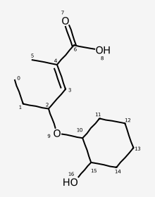 CCC(C=C(C)C(=O)O)OC1CCCCC1O